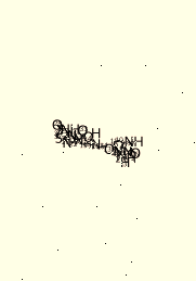 [2H]C([2H])([2H])N1C(=O)CNc2ccc(OCCNCC3CN(c4cnc5c(n4)NC(=O)CS5)C(=O)O3)nc21